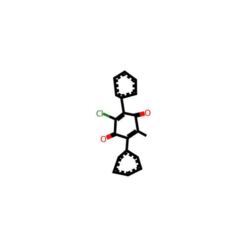 CC1=C(c2ccccc2)C(=O)C(Cl)=C(c2ccccc2)C1=O